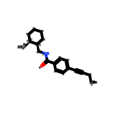 COCC#Cc1ccc(C(=O)NC[C@@H]2CCCC[C@H]2C(=O)O)cc1